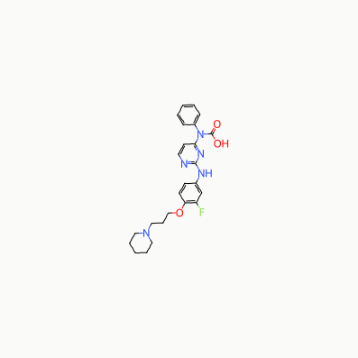 O=C(O)N(c1ccccc1)c1ccnc(Nc2ccc(OCCCN3CCCCC3)c(F)c2)n1